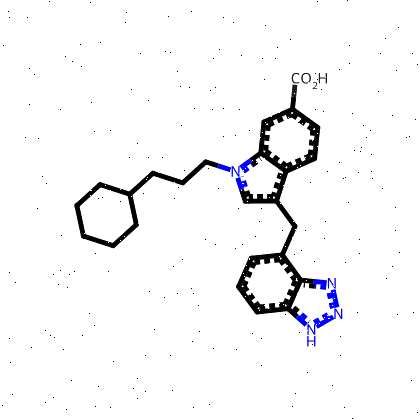 O=C(O)c1ccc2c(Cc3cccc4[nH]nnc34)cn(CCCC3CCCCC3)c2c1